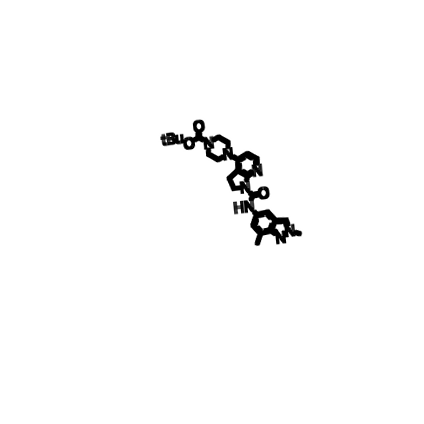 Cc1cc(NC(=O)N2CCc3c(N4CCN(C(=O)OC(C)(C)C)CC4)ccnc32)cc2cn(C)nc12